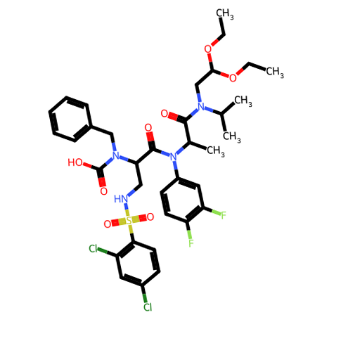 CCOC(CN(C(=O)C(C)N(C(=O)C(CNS(=O)(=O)c1ccc(Cl)cc1Cl)N(Cc1ccccc1)C(=O)O)c1ccc(F)c(F)c1)C(C)C)OCC